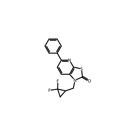 O=c1sc2nc(-c3ccccc3)ccc2n1CC1CC1(F)F